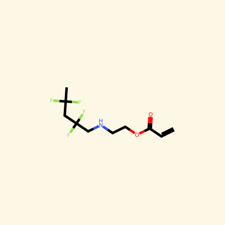 C=CC(=O)OCCNCC(F)(F)CC(C)(F)F